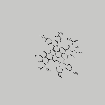 Cc1ccc(Oc2cc3c4c(cc(Oc5ccc(C)cc5)c5c6c(Oc7ccc(C)cc7)cc7c8c(cc(Oc9ccc(C)cc9)c(c2c45)c86)C(=O)N(C(CC(C)C)C(=O)OC(C(F)(F)F)C(F)(F)F)C7=O)C(=O)N(C(CC(C)C)C(=O)OC(C(F)(F)F)C(F)(F)F)C3=O)cc1